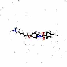 CC(C)N(C)CCCCCCOC1CCC(CNS(=O)(=O)c2ccc(C(F)(F)F)cc2)CC1